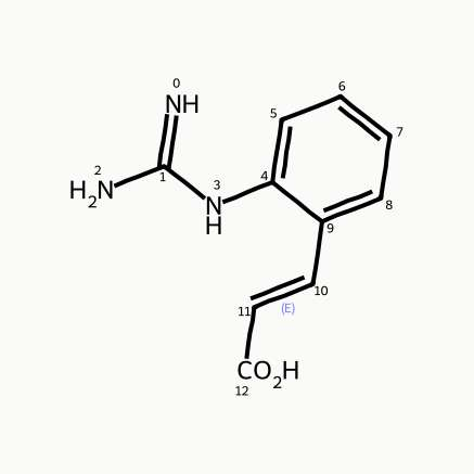 N=C(N)Nc1ccccc1/C=C/C(=O)O